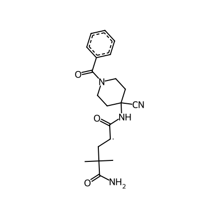 CC(C)(C[CH]C(=O)NC1(C#N)CCN(C(=O)c2ccccc2)CC1)C(N)=O